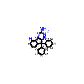 Nc1nnc(C(c2ccccc2)(c2ccccc2)c2ccccc2)c(N)n1